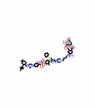 Cc1cc(S(=O)(=O)NC(=O)c2ccc(N3CCN(CC4=C(C56CC(C)(C5)C6)CC(C)(C)CC4)CC3)cc2)ccc1N[C@H](CCN1CCN(CCCCNc2ccc3c(c2)C(=O)N(C2CCC(=O)NC2=O)C3=O)CC1)CSc1ccccc1